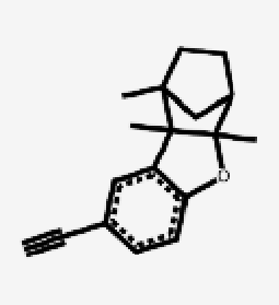 C#Cc1ccc2c(c1)C1(C)C3(C)CCC(C3)C1(C)O2